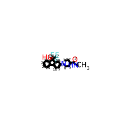 CNC(=O)C1CCN(c2ccc3c(c2)C(O)(C(F)(F)F)c2ccccc2-3)CC1